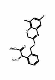 COC(=O)N(OC)c1ccccc1CSC1=Nc2cc(Cl)cc(C)c2OC1